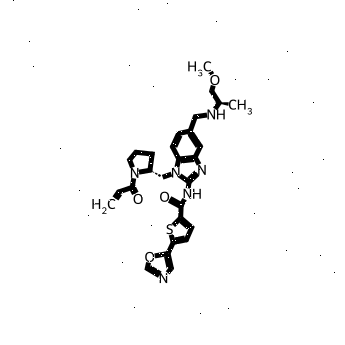 C=CC(=O)N1CCC[C@@H]1Cn1c(NC(=O)c2ccc(-c3cnco3)s2)nc2cc(CN[C@H](C)COC)ccc21